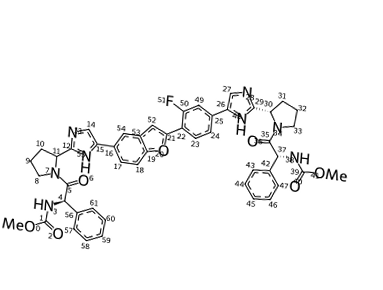 COC(=O)N[C@@H](C(=O)N1CCCC1c1ncc(-c2ccc3oc(-c4ccc(-c5cnc([C@@H]6CCCN6C(=O)[C@H](NC(=O)OC)c6ccccc6)[nH]5)cc4F)cc3c2)[nH]1)c1ccccc1